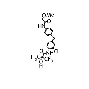 COCC(=O)Nc1ccc(Sc2ccc(NC(=O)[C@@](C)(O)C(F)(F)F)c(Cl)c2)cc1